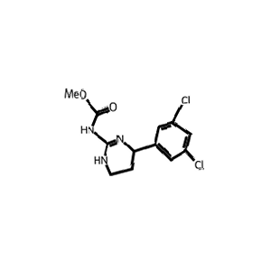 COC(=O)NC1=NC(c2cc(Cl)cc(Cl)c2)CCN1